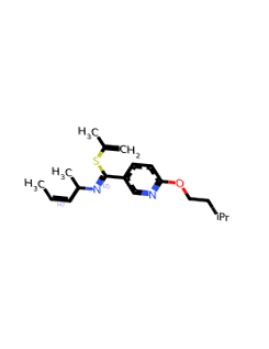 C=C(C)S/C(=N\C(C)/C=C\C)c1ccc(OCCC(C)C)nc1